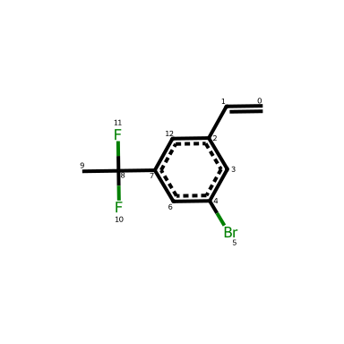 C=Cc1cc(Br)cc(C(C)(F)F)c1